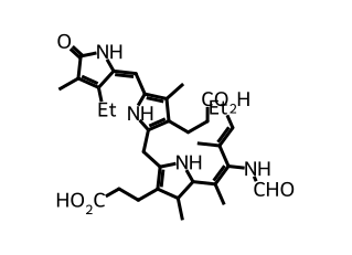 CC/C=C(C)/C(NC=O)=C(/C)C1NC(Cc2[nH]c(C=C3NC(=O)C(C)=C3CC)c(C)c2CCC(=O)O)=C(CCC(=O)O)C1C